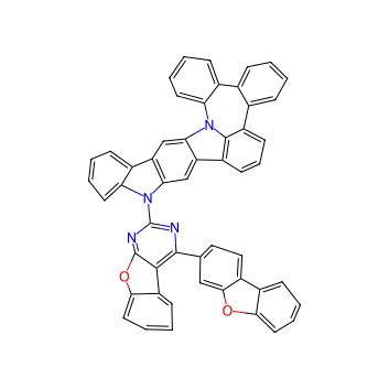 c1ccc2c(c1)-c1ccccc1-n1c3cc4c5ccccc5n(-c5nc(-c6ccc7c(c6)oc6ccccc67)c6c(n5)oc5ccccc56)c4cc3c3cccc-2c31